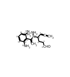 C=C=CC(CCC=O)N(N)C(=C)c1c(N)cccc1N